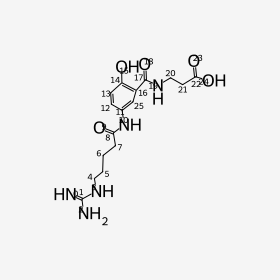 N=C(N)NCCCCC(=O)Nc1ccc(O)c(C(=O)NCCC(=O)O)c1